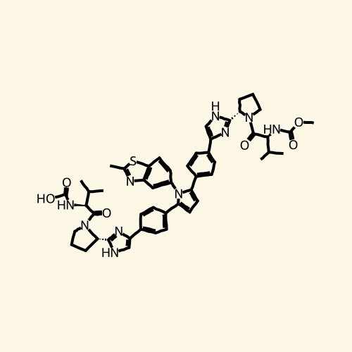 COC(=O)N[C@H](C(=O)N1CCC[C@H]1c1nc(-c2ccc(-c3ccc(-c4ccc(-c5c[nH]c([C@@H]6CCCN6C(=O)[C@@H](NC(=O)O)C(C)C)n5)cc4)n3-c3ccc4sc(C)nc4c3)cc2)c[nH]1)C(C)C